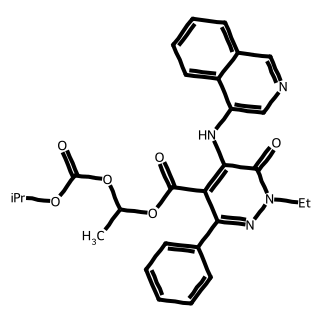 CCn1nc(-c2ccccc2)c(C(=O)OC(C)OC(=O)OC(C)C)c(Nc2cncc3ccccc23)c1=O